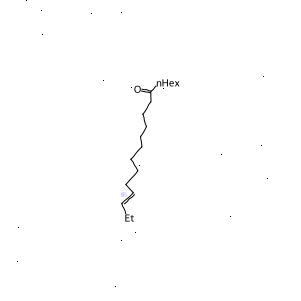 CC/C=C/CCCCCCCCC(=O)CCCCCC